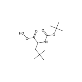 CC(C)(C)CC(NC(=O)OC(C)(C)C)C(=O)OO